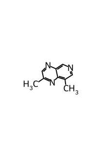 Cc1cnc2cncc(C)c2n1